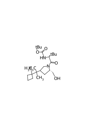 CC(C)(C)OC(=O)N[C@H](C(=O)N1CC(C(C)(C)C2(C)CCC2)C[C@H]1CO)C(C)(C)C